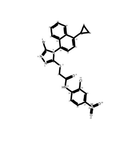 O=C(CSc1nnc(Br)n1-c1ccc(C2CC2)c2ccccc12)Nc1ccc([SH](=O)=O)cc1Cl